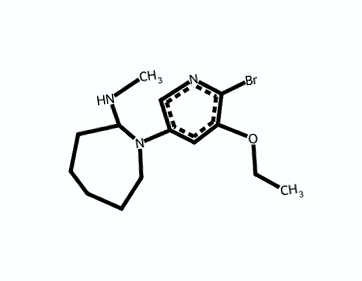 CCOc1cc(N2CCCCCC2NC)cnc1Br